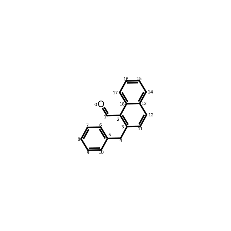 O=Cc1c(Cc2ccccc2)ccc2ccccc12